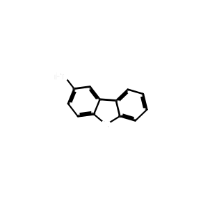 CC(C)c1ccc2sc3ccccc3c2c1